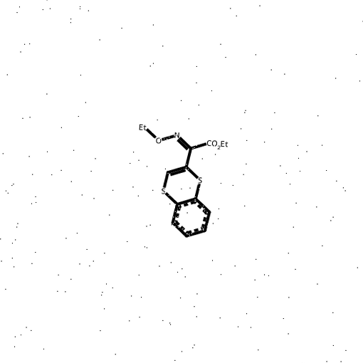 CCO/N=C(/C(=O)OCC)C1=CSc2ccccc2S1